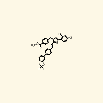 COC(=O)c1ccc(Cn2cc(-c3ccc(Cl)cc3Cl)nc2/C=C/c2ccc(-c3cccc(OC(F)(F)F)c3)cc2)cc1